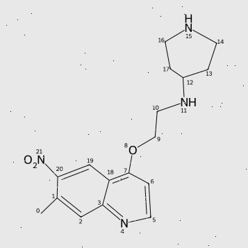 Cc1cc2nccc(OCCNC3CCNCC3)c2cc1[N+](=O)[O-]